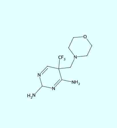 NC1=NC(N)N=CC1(CN1CCOCC1)C(F)(F)F